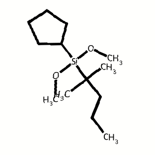 CCCC(C)(C)[Si](OC)(OC)C1CCCC1